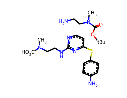 CN(CCN)C(=O)OC(C)(C)C.CN(CCNc1nccc(Sc2ccc(N)cc2)n1)C(=O)O